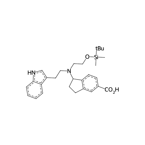 CC(C)(C)[Si](C)(C)OCCN(CCc1c[nH]c2ccccc12)C1CCc2cc(C(=O)O)ccc21